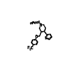 CCCCCN1CCC(c2cccs2)C(COc2ccc(C(F)(F)F)cc2)C1